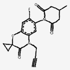 C#CCN1C(=O)C2(CC2)Oc2cc(F)c(N3C(=O)CC(C)CC3=O)cc21